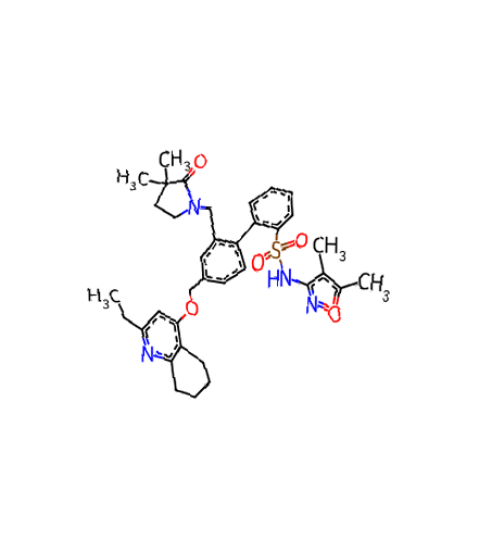 CCc1cc(OCc2ccc(-c3ccccc3S(=O)(=O)Nc3noc(C)c3C)c(CN3CCC(C)(C)C3=O)c2)c2c(n1)CCCC2